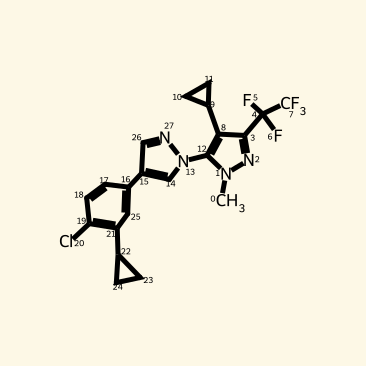 Cn1nc(C(F)(F)C(F)(F)F)c(C2CC2)c1-n1cc(-c2ccc(Cl)c(C3CC3)c2)cn1